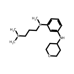 CN(C)CCCN(C)c1cc[c]c(NC2CCOCC2)c1